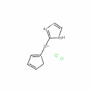 C1=CC[C]([Zr+2][C]2=[As]C=C[AsH]2)=C1.[Cl-].[Cl-]